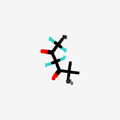 CCC(F)(F)C(=O)C(F)(F)C(=O)C(C)(C)C(F)(F)F